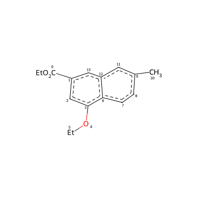 CCOC(=O)c1cc(OCC)c2ccc(C)cc2c1